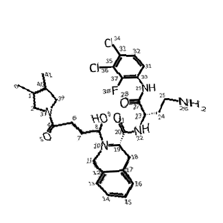 CC1CN(C(=O)CCC(O)N2Cc3ccccc3C[C@H]2C(=O)N[C@@H](CCN)C(=O)Nc2ccc(Cl)c(Cl)c2F)CC1C